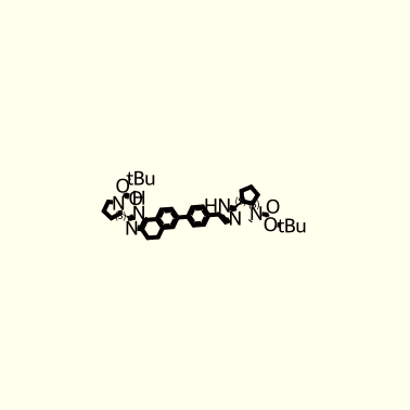 CN(C(=O)OC(C)(C)C)[C@H]1CCC[C@@H]1c1ncc(-c2ccc(-c3ccc4c(c3)CCc3nc([C@@H]5CCCN5C(=O)OC(C)(C)C)[nH]c3-4)cc2)[nH]1